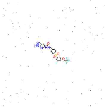 O=C(NCc1ccc(S(=O)(=O)c2cc(F)cc(OCC(F)(F)F)c2)cc1)c1cnc2[nH]ncc2c1